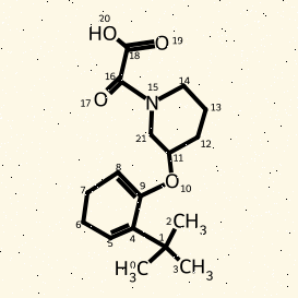 CC(C)(C)C1=CCCC=C1OC1CCCN(C(=O)C(=O)O)C1